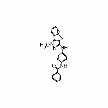 Cn1nc(Nc2ccc(NC(=O)c3ccccc3)cc2)c2sc3ncccc3c21